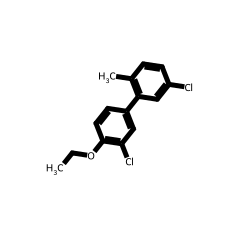 CCOc1ccc(-c2cc(Cl)ccc2C)cc1Cl